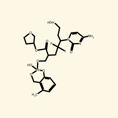 CCCCCCCCCCCCC(n1ccc(N)nc1=O)C(F)(F)CC(CO[PH]1(O)OCc2c(C)cccc2O1)C(=O)OC1CCOC1